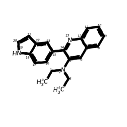 CCN(CC)c1cc2ccccc2nc1-c1ccc2[nH]ccc2c1